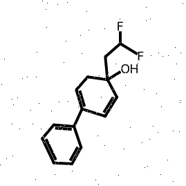 OC1(CC(F)F)C=CC(c2ccccc2)=CC1